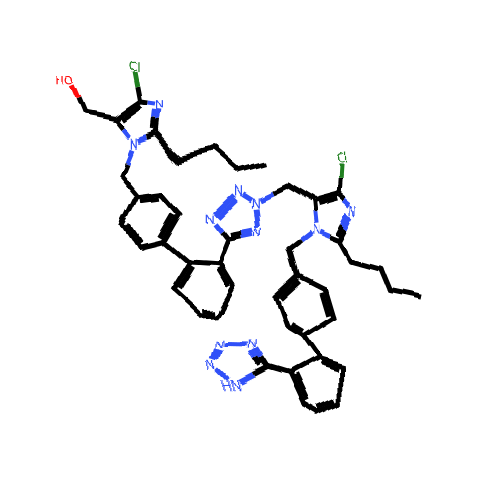 CCCCc1nc(Cl)c(CO)n1Cc1ccc(-c2ccccc2-c2nnn(Cc3c(Cl)nc(CCCC)n3Cc3ccc(-c4ccccc4-c4nnn[nH]4)cc3)n2)cc1